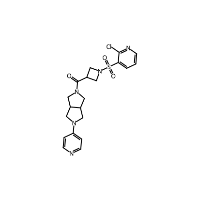 O=C(C1CN(S(=O)(=O)c2cccnc2Cl)C1)N1CC2CN(c3ccncc3)CC2C1